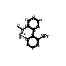 CC(C)c1cccc(C(C)C)c1-c1ccccc1N(C)C